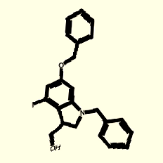 OCC1CN(Cc2ccccc2)c2cc(OCc3ccccc3)cc(I)c21